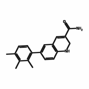 Cc1ccc(-c2ccc3c(c2)C=C(C(N)=O)CN3)c(C)c1C